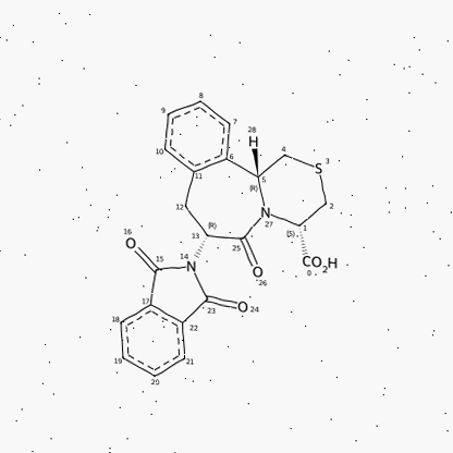 O=C(O)[C@H]1CSC[C@H]2c3ccccc3C[C@@H](N3C(=O)c4ccccc4C3=O)C(=O)N12